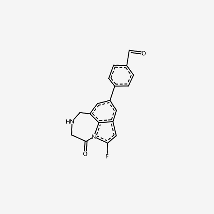 O=Cc1ccc(-c2cc3c4c(c2)cc(F)n4C(=O)CNC3)cc1